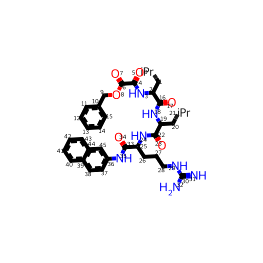 CC(C)CC(NC(=O)C(=O)OCc1ccccc1)C(=O)NC(CC(C)C)C(=O)NC(CCCNC(=N)N)C(=O)Nc1ccc2ccccc2c1